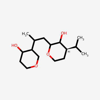 CC(CC1OCC[C@H](C(C)C)C1O)C1COCCC1O